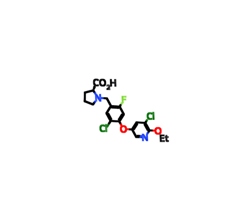 CCOc1ncc(Oc2cc(F)c(CN3CCC[C@H]3C(=O)O)cc2Cl)cc1Cl